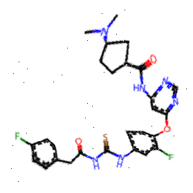 CN(C)[C@@H]1CCC(C(=O)Nc2cc(Oc3ccc(NC(=S)NC(=O)Cc4ccc(F)cc4)cc3F)ncn2)C1